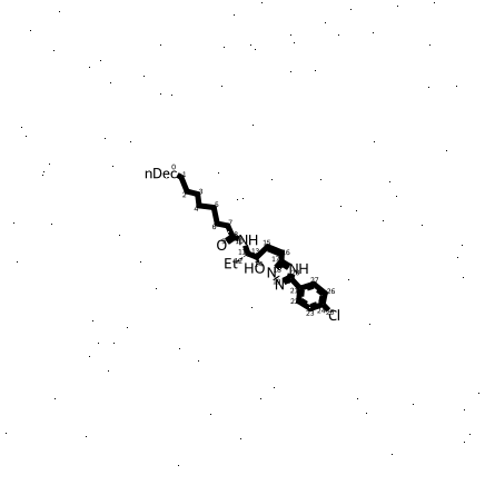 CCCCCCCCCCCCCCCCCC(=O)N[C@@H](CC)[C@H](O)/C=C\c1nnc(-c2ccc(Cl)cc2)[nH]1